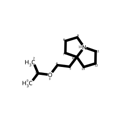 CC(C)OCCC12CCCN1CCC2